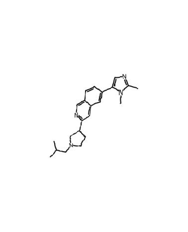 Cc1ncc(-c2ccc3cnc(C4CCN(CC(C)C)C4)cc3c2)n1C